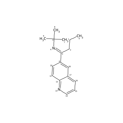 CCC/C(=N\C(C)(C)C)c1ccc2ncccc2c1